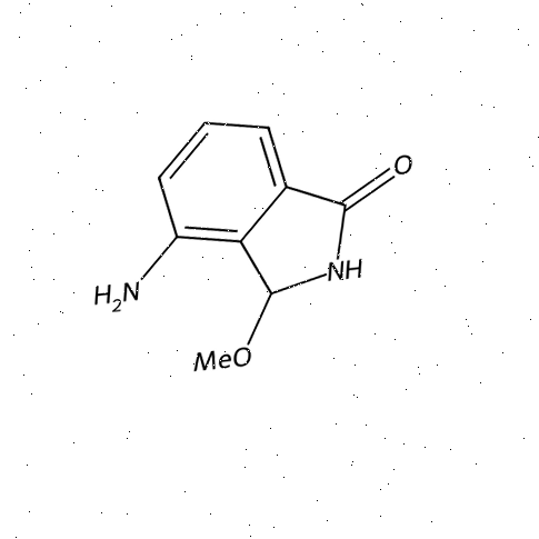 COC1NC(=O)c2cccc(N)c21